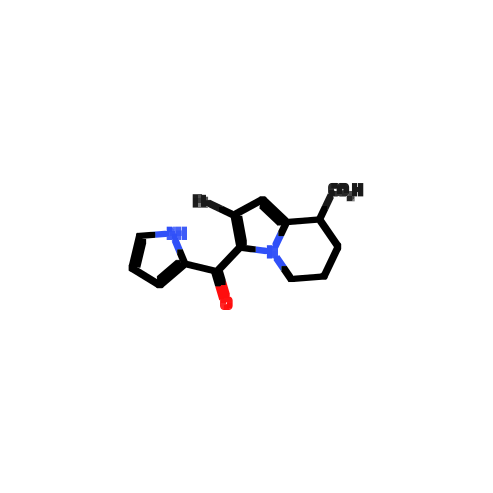 CCc1cc2n(c1C(=O)c1ccc[nH]1)CCCC2C(=O)O